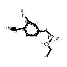 CCO[PH](=O)Cc1ccc(C#N)c(F)c1